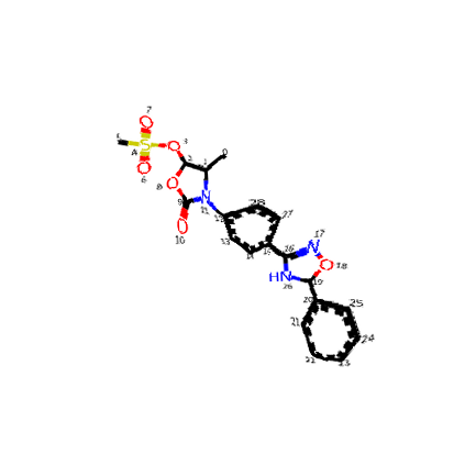 CC1C(OS(C)(=O)=O)OC(=O)N1c1ccc(C2=NOC(c3ccccc3)N2)cc1